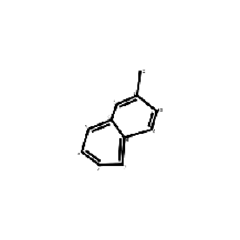 Cc1[c]c2ccccc2[c]c1